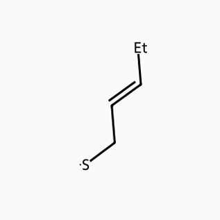 CC/C=C/C[S]